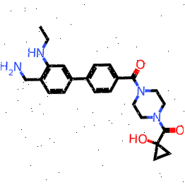 CCNc1cc(-c2ccc(C(=O)N3CCN(C(=O)C4(O)CC4)CC3)cc2)ccc1CN